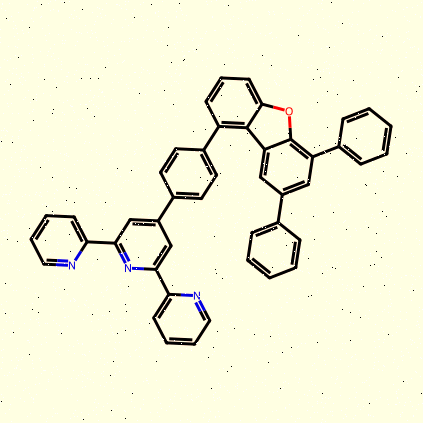 c1ccc(-c2cc(-c3ccccc3)c3oc4cccc(-c5ccc(-c6cc(-c7ccccn7)nc(-c7ccccn7)c6)cc5)c4c3c2)cc1